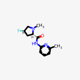 Cc1cccc(NC(=O)[C@@H]2C[C@@H](F)CN2C)n1